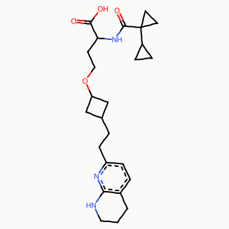 O=C(O)C(CCOC1CC(CCc2ccc3c(n2)NCCC3)C1)NC(=O)C1(C2CC2)CC1